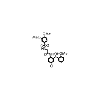 COc1ccc(S(=O)(=O)NCC(=O)Nc2ccc(Cl)cc2C(O)c2ccccc2OC)cc1OC